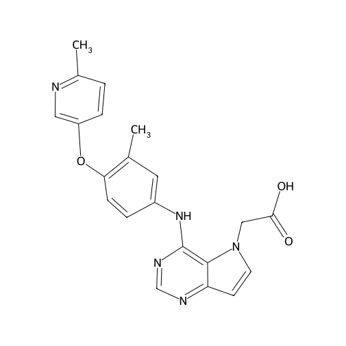 Cc1ccc(Oc2ccc(Nc3ncnc4ccn(CC(=O)O)c34)cc2C)cn1